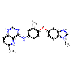 CC(=O)Nc1ccc2ncnc(Nc3ccc(Oc4ccc5c(c4)ncn5C)c(C)c3)c2n1